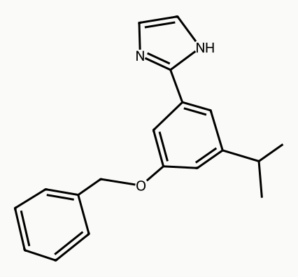 CC(C)c1cc(OCc2ccccc2)cc(-c2ncc[nH]2)c1